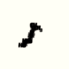 CCCCC(CC)COc1ccc(/C=C/C(=O)NCC(=O)CO)cc1